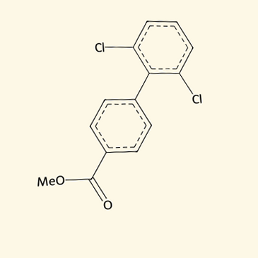 COC(=O)c1ccc(-c2c(Cl)cccc2Cl)cc1